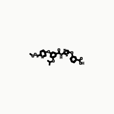 COOSc1ccc(Oc2cc(OC(C)C)cc(C(=O)Nc3ncc(Oc4cccc(C(=O)O)c4)s3)c2)cn1